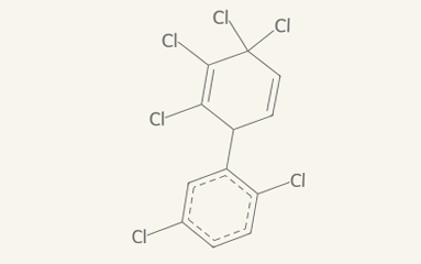 ClC1=C(Cl)C(Cl)(Cl)C=CC1c1cc(Cl)ccc1Cl